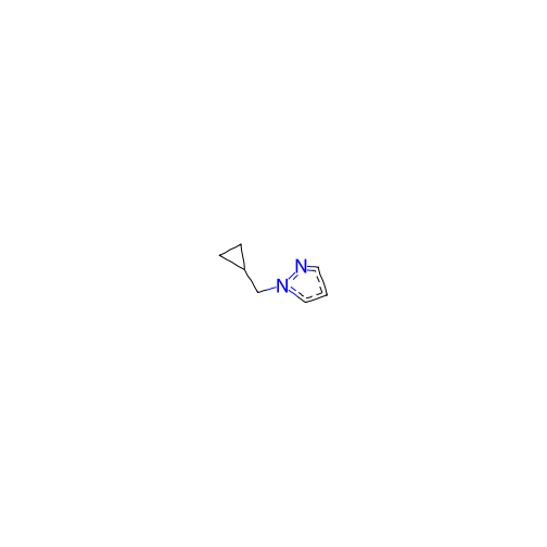 c1cnn(CC2CC2)c1